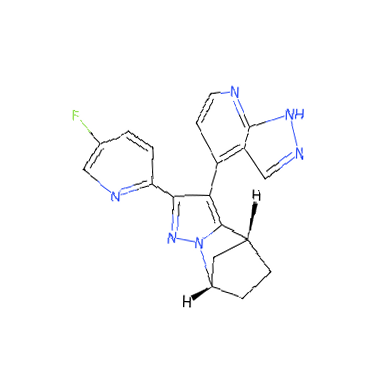 Fc1ccc(-c2nn3c(c2-c2ccnc4[nH]ncc24)[C@@H]2CC[C@H]3C2)nc1